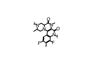 Cc1c(F)cc2c3c(c(=O)n(I)c2c1F)N(C)C(=O)C1CN(I)C(C)CN31